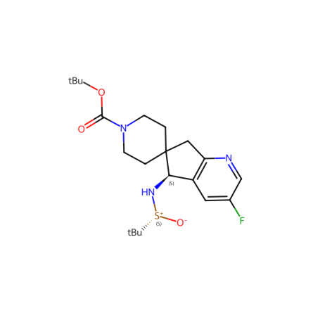 CC(C)(C)OC(=O)N1CCC2(CC1)Cc1ncc(F)cc1[C@H]2N[S@+]([O-])C(C)(C)C